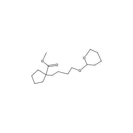 COC(=O)C1(CCCCOC2CCCCO2)CCCC1